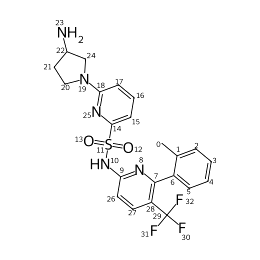 Cc1ccccc1-c1nc(NS(=O)(=O)c2cccc(N3CCC(N)C3)n2)ccc1C(F)(F)F